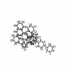 c1ccc(-c2ccc(-c3nc(-c4ccccc4)nc(-c4cccc5c4C4(c6ccccc6-5)c5ccc6ccccc6c5Sc5c4ccc4ccccc54)n3)cc2)cc1